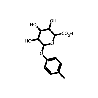 Cc1ccc(OC2OC(C(=O)O)C(O)C(O)C2O)cc1